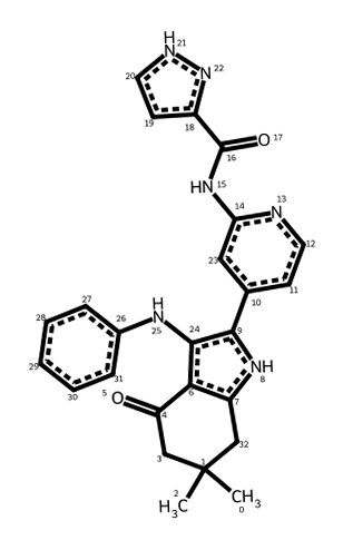 CC1(C)CC(=O)c2c([nH]c(-c3ccnc(NC(=O)c4cc[nH]n4)c3)c2Nc2ccccc2)C1